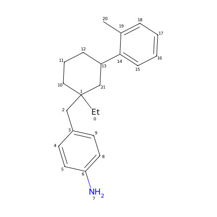 CCC1(Cc2ccc(N)cc2)CCCC(c2ccccc2C)C1